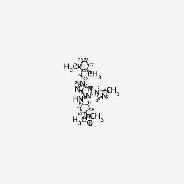 Cc1cn(-c2nc(Nc3ccc(P(C)(C)=O)cc3)c3ncn(/C=C/c4c(C)cccc4C)c3n2)cn1